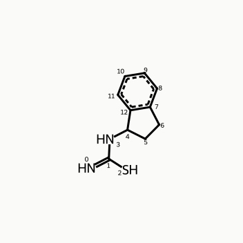 N=C(S)NC1CCc2ccccc21